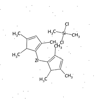 CC1=CC(C)=[C]([Zr][C]2=C(C)C=C(C)C2C)C1C.C[Si](C)(Cl)Cl